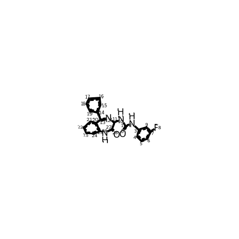 O=C(Nc1cccc(F)c1)NC1N=C(c2ccccc2)c2ccccc2NC1=O